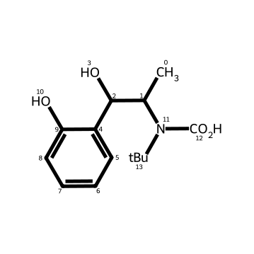 CC(C(O)c1ccccc1O)N(C(=O)O)C(C)(C)C